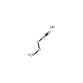 [LiH].[O]=[Al][O]O[SiH3]